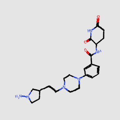 NN1CCC(CCN2CCN(c3cccc(C(=O)NC4CCC(=O)NC4=O)c3)CC2)C1